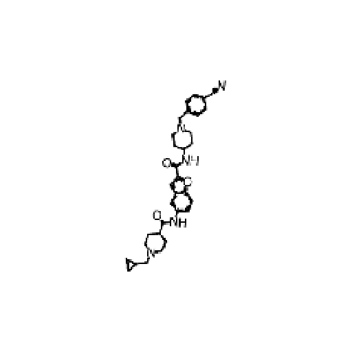 N#Cc1ccc(CN2CCC(NC(=O)c3cc4cc(NC(=O)C5CCN(CC6CC6)CC5)ccc4o3)CC2)cc1